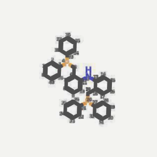 c1ccc(P(Cc2ccccc2Nc2ccccc2CP(c2ccccc2)c2ccccc2)c2ccccc2)cc1